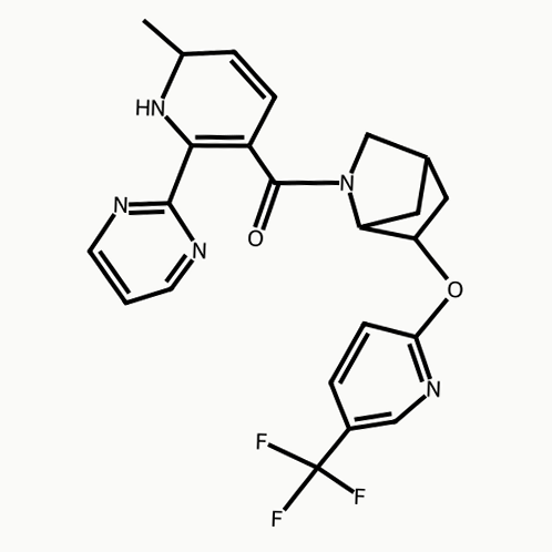 CC1C=CC(C(=O)N2CC3CC(Oc4ccc(C(F)(F)F)cn4)C2C3)=C(c2ncccn2)N1